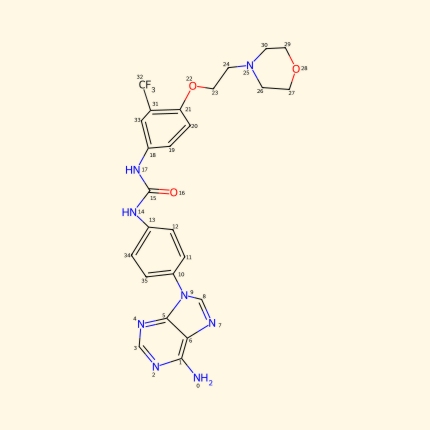 Nc1ncnc2c1ncn2-c1ccc(NC(=O)Nc2ccc(OCCN3CCOCC3)c(C(F)(F)F)c2)cc1